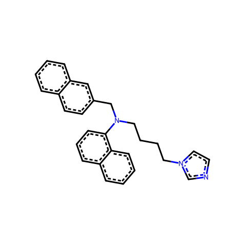 c1ccc2cc(CN(CCCCn3ccnc3)c3cccc4ccccc34)ccc2c1